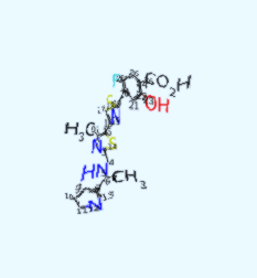 Cc1nc(CNC(C)c2cccnc2)sc1-c1csc(-c2cc(O)c(C(=O)O)cc2F)n1